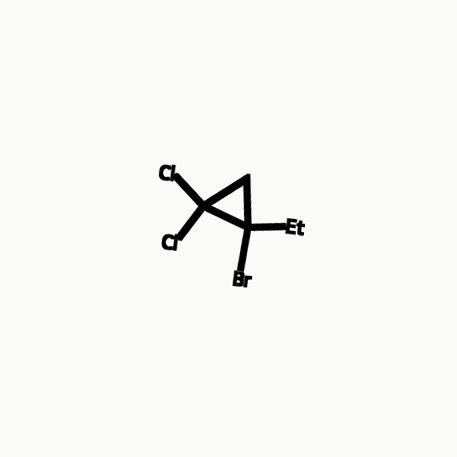 CCC1(Br)CC1(Cl)Cl